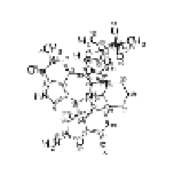 Cn1cc2c3c(c[nH]c3c1=O)C(CCC(N)=O)[N+](c1ccc(F)cc1F)(C1CCCCN1C(=O)OC(C)(C)C)c1ccc(CS(C)(=O)=O)cc1-2